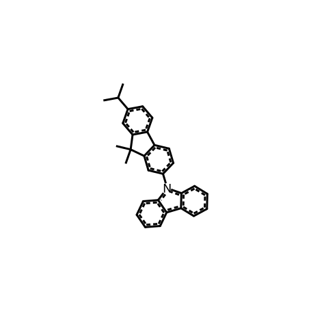 CC(C)c1ccc2c(c1)C(C)(C)c1cc(-n3c4ccccc4c4ccccc43)ccc1-2